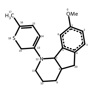 COc1ccc2c(c1)C1C(CCCN1C1=CC=C(C)SC1)C2